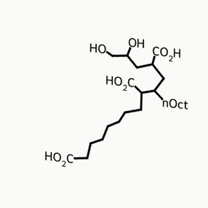 CCCCCCCCC(CC(CC(O)CO)C(=O)O)C(CCCCCCCC(=O)O)C(=O)O